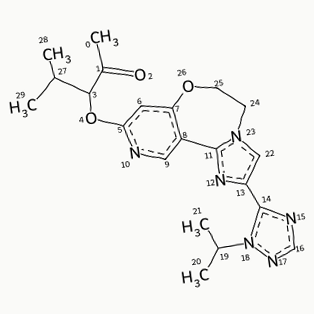 CC(=O)C(Oc1cc2c(cn1)-c1nc(-c3ncnn3C(C)C)cn1CCO2)C(C)C